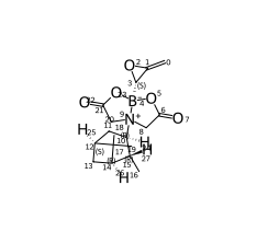 C=C1O[C@H]1[B-]12OC(=O)C[N+]1([C@@H]1C[C@@H]3C[C@H]([C@H]1C)C3(C)C)CC(=O)O2